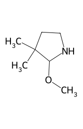 COC1NCCC1(C)C